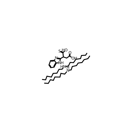 CCCCCCCCNCCCCCCCC.CCCCCCCCNCCCCCCCC.O=C(O)CC(C(O)=S)c1nc2ccccc2[nH]1